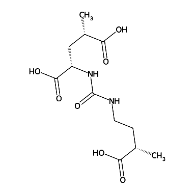 C[C@@H](CCNC(=O)N[C@@H](C[C@H](C)C(=O)O)C(=O)O)C(=O)O